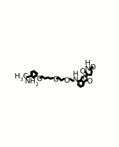 C[C@@H](N)c1cccc(OCCCCCOCCCOCCNc2cccc3c2CN(C2CCC(=O)NC2=O)C3=O)c1